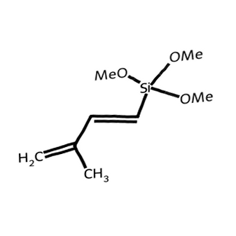 C=C(C)C=C[Si](OC)(OC)OC